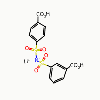 O=C(O)c1ccc(S(=O)(=O)[N-]S(=O)(=O)c2cccc(C(=O)O)c2)cc1.[Li+]